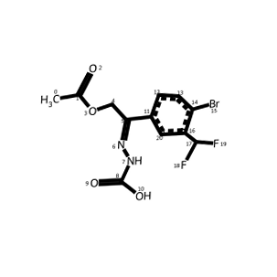 CC(=O)OC/C(=N/NC(=O)O)c1ccc(Br)c(C(F)F)c1